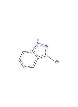 CCCc1n[nH]c2ccccc12